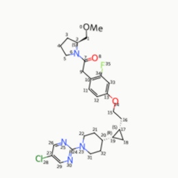 COC[C@@H]1CCCN1C(=O)Cc1ccc(OCC[C@@H]2C[C@@H]2C2CCN(c3ncc(Cl)cn3)CC2)cc1F